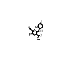 COC(=O)c1cc(F)c(C#N)nc1NC1CC=C(I)C=C1F